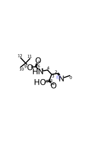 C/N=C/C(CNC(=O)OC(C)(C)C)C(=O)O